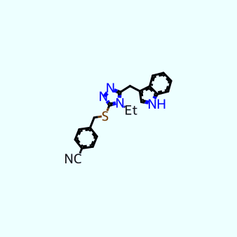 CCn1c(Cc2c[nH]c3ccccc23)nnc1SCc1ccc(C#N)cc1